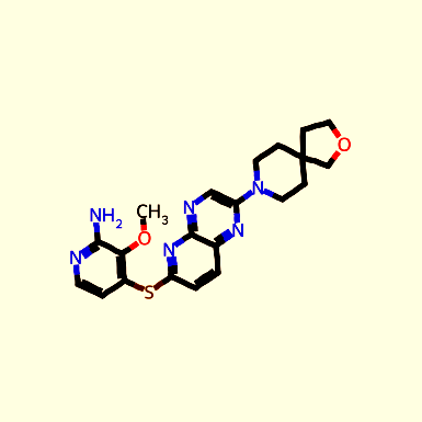 COc1c(Sc2ccc3nc(N4CCC5(CCOC5)CC4)cnc3n2)ccnc1N